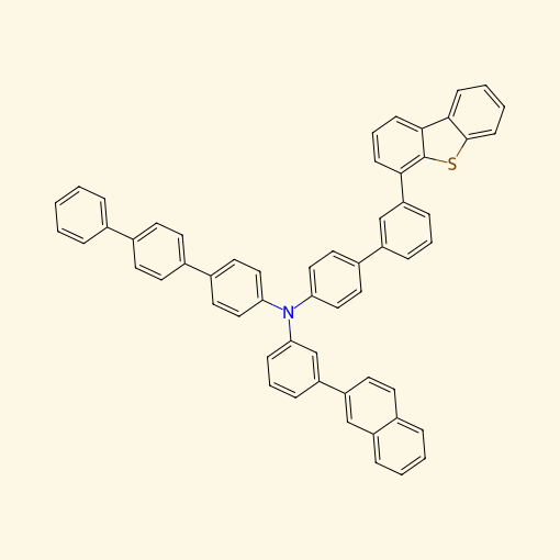 c1ccc(-c2ccc(-c3ccc(N(c4ccc(-c5cccc(-c6cccc7c6sc6ccccc67)c5)cc4)c4cccc(-c5ccc6ccccc6c5)c4)cc3)cc2)cc1